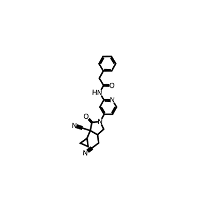 N#CCC1CN(c2ccnc(NC(=O)Cc3ccccc3)c2)C(=O)C1(C#N)C1CC1